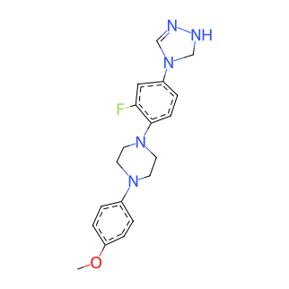 COc1ccc(N2CCN(c3ccc(N4C=NNC4)cc3F)CC2)cc1